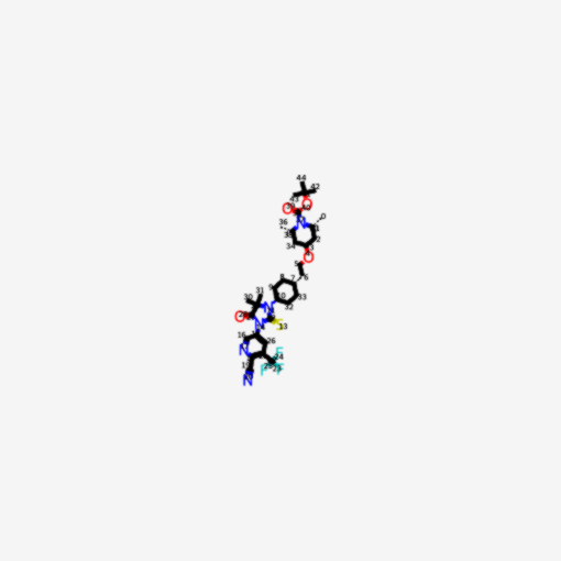 C[C@@H]1CC(OCC[C@H]2CC[C@H](N3C(=S)N(c4cnc(C#N)c(C(F)(F)F)c4)C(=O)C3(C)C)CC2)C[C@H](C)N1C(=O)OC(C)(C)C